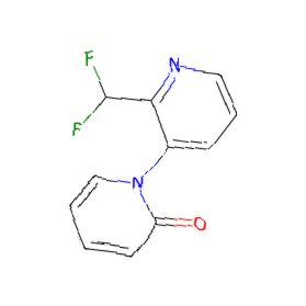 O=c1ccccn1-c1cccnc1C(F)F